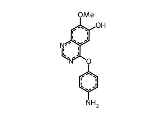 COc1cc2ncnc(Oc3ccc(N)cc3)c2cc1O